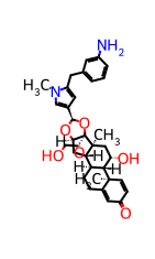 Cn1cc([C@@H]2O[C@@H]3C[C@H]4[C@@H]5CCC6=CC(=O)C=C[C@]6(C)[C@H]5[C@@H](O)C[C@]4(C)[C@]3(C(=O)CO)O2)cc1Cc1cccc(N)c1